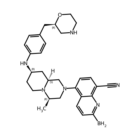 Bc1ccc2c(N3C[C@@H]4C[C@H](Nc5ccc(C[C@@H]6CNCCO6)cc5)CCN4[C@H](C)C3)ccc(C#N)c2n1